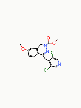 COC(=O)N1Cc2cc(OC)ccc2C(Cc2c(Cl)cncc2Cl)=N1